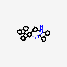 NC(c1ccccc1)N1C(c2ccccc2)NC1c1cccc(-c2ccc3c(c2)C(c2ccccc2)(c2ccccc2)c2ccccc2-3)c1